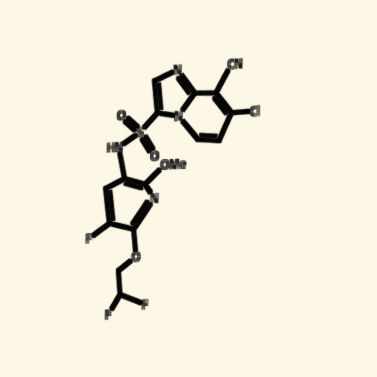 COc1nc(OCC(F)F)c(F)cc1NS(=O)(=O)c1cnc2c(C#N)c(Cl)ccn12